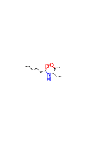 CCCCCC(=O)NC(CC)C(C)=O